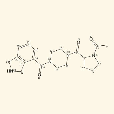 CC(=O)N1CCCC1C(=O)N1CCN(C(=O)c2cccc3c2CNC3)CC1